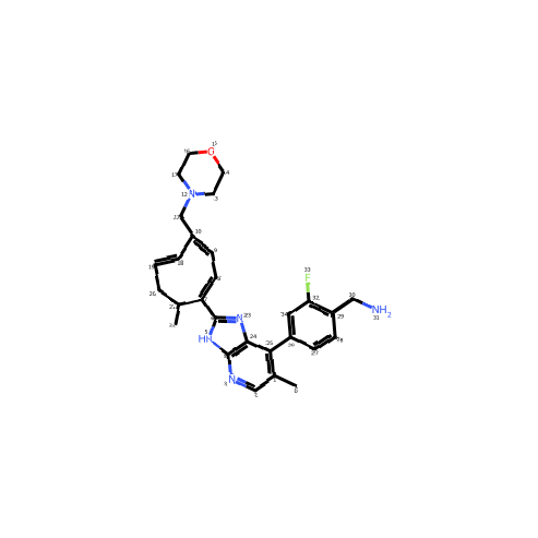 Cc1cnc2[nH]c(/C3=C/C=C(CN4CCOCC4)\C=C\CC3C)nc2c1-c1ccc(CN)c(F)c1